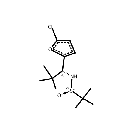 CC(C)(C)[C@@H](N[S@+]([O-])C(C)(C)C)c1ccc(Cl)o1